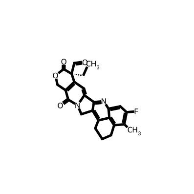 CC[C@@]1(C=O)C(=O)OCc2c1cc1n(c2=O)Cc2c-1nc1cc(F)c(C)c3c1c2CCC3